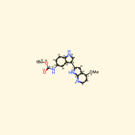 COc1ccnc2[nH]c(-c3c[nH]c4ccc(NC(=O)OC(C)(C)C)cc34)cc12